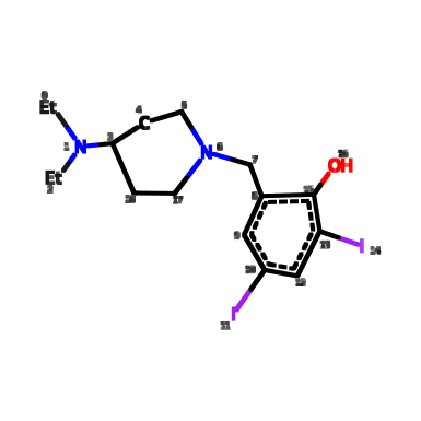 CCN(CC)C1CCN(Cc2cc(I)cc(I)c2O)CC1